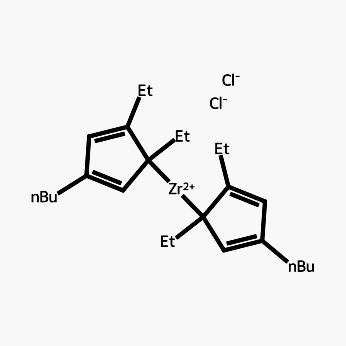 CCCCC1=C[C](CC)([Zr+2][C]2(CC)C=C(CCCC)C=C2CC)C(CC)=C1.[Cl-].[Cl-]